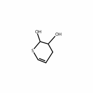 OC1CC=CSC1O